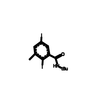 Cc1cc(I)cc(C(=O)NC(C)(C)C)c1I